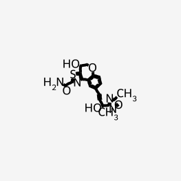 Cc1nc([C@](C)(O)C#Cc2ccc3c(c2)-c2nc(C(N)=O)sc2C(O)CO3)no1